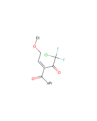 CCCC(=O)C(=CCOCC)C(=O)C(F)(F)Cl